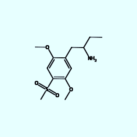 CCC(N)Cc1cc(OC)c(S(C)(=O)=O)cc1OC